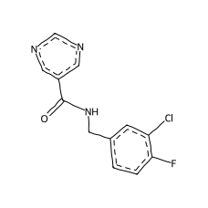 O=C(NCc1ccc(F)c(Cl)c1)c1cncnc1